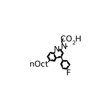 CCCCCCCCc1ccc2nc(N(C)CC(=O)O)cc(-c3ccc(F)cc3)c2c1